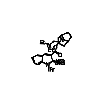 CCN(CC)CCN1C2CCC1CC(OC(=O)c1cc3ccccc3n(C(C)C)c1=O)C2.Cl.Cl